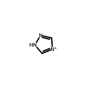 C1=NNC=[N+]1